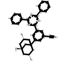 C[C@@H]1C[C@@H]2C[C@H](C)CC(c3cc(C#N)cc(-c4nc(-c5ccccc5)nc(-c5ccccc5)n4)c3)(C1)C2